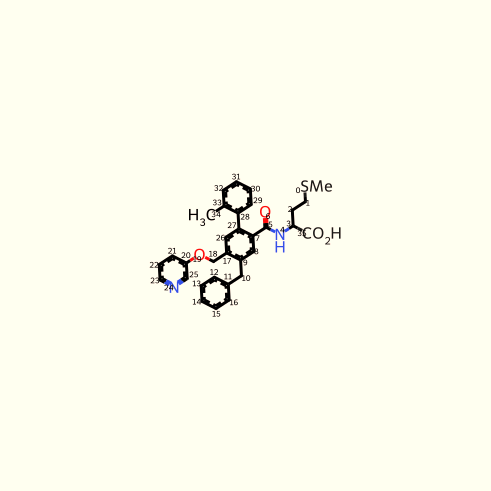 CSCCC(NC(=O)c1cc(Cc2ccccc2)c(COc2cccnc2)cc1-c1ccccc1C)C(=O)O